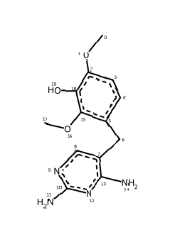 COc1ccc(Cc2cnc(N)nc2N)c(OC)c1O